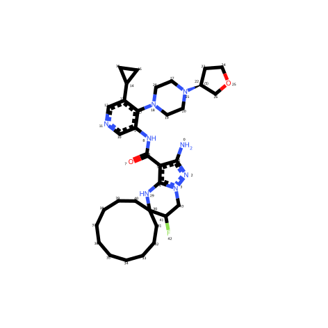 Nc1nn2c(c1C(=O)Nc1cncc(C3CC3)c1N1CCN([C@H]3CCOC3)CC1)NC1(CCCCCCCCCC1)C(F)C2